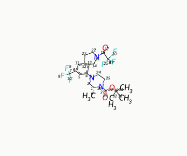 C[C@@H]1CN(c2cc(C(F)(F)F)cc3c2CN(C(=O)C(F)(F)F)CC3)CCN1C(=O)OC(C)(C)C